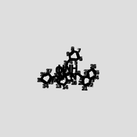 O=C(NCc1ccccc1)C12NCC3CC1CN(Cc1cccc4ccccc14)C2C3Cc1ccccc1